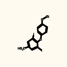 CCOc1ccc(Oc2c(I)cc(C(=O)O)cc2I)cc1